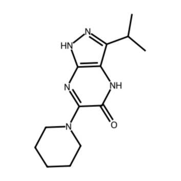 CC(C)c1n[nH]c2nc(N3CCCCC3)c(=O)[nH]c12